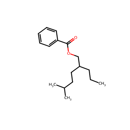 CCCC(CCC(C)C)COC(=O)c1ccccc1